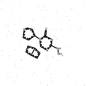 NNc1ncn(-c2ccncc2)c(=O)n1.c1cc2ccc1-2